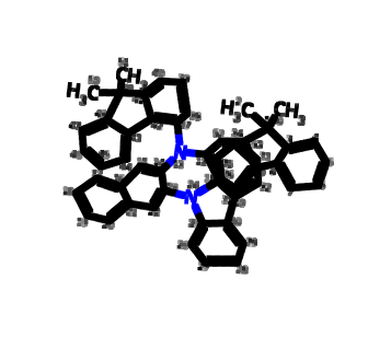 CC1(C)c2ccccc2-c2ccc(N(c3cc4ccccc4cc3-n3c4ccccc4c4ccccc43)c3cccc4c3-c3ccccc3C4(C)C)cc21